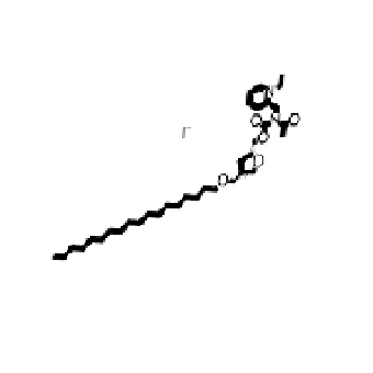 CCCCCCCCCCCCCCCCCCOC[C@@H]1CO[C@@H](COC(=O)N(Cc2cccc[n+]2CC)C(C)=O)C1.[I-]